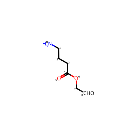 NCCCC(=O)OCC=O